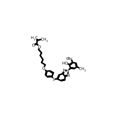 C=C(C)C(=O)OCCCCCCOc1ccc(Sc2ccc3nn(-c4cc(C)cc(C(C)(C)C)c4O)nc3c2)cc1